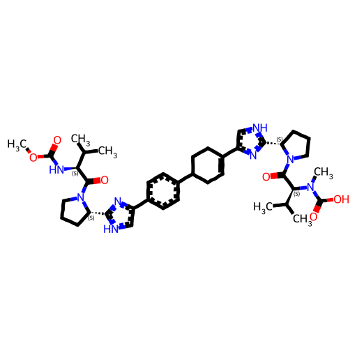 COC(=O)N[C@H](C(=O)N1CCC[C@H]1c1nc(-c2ccc(C3CC=C(c4c[nH]c([C@@H]5CCCN5C(=O)[C@H](C(C)C)N(C)C(=O)O)n4)CC3)cc2)c[nH]1)C(C)C